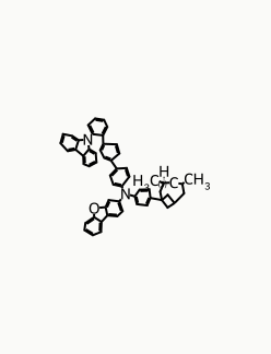 CC1CC2CC(c3ccc(N(c4ccc(-c5ccc(-c6ccccc6-n6c7ccccc7c7ccccc76)cc5)cc4)c4ccc5c(c4)oc4ccccc45)cc3)(C2)C[C@@H](C)C1